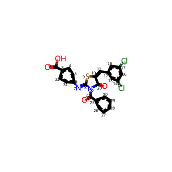 O=C(O)c1ccc(N=C2SC(=Cc3cc(Cl)cc(Cl)c3)C(=O)N2C(=O)c2ccccc2)cc1